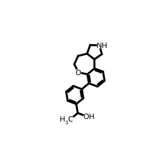 CC(O)c1cccc(-c2cccc3c2OCCC2CNCC32)c1